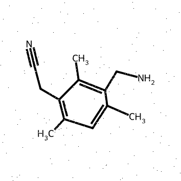 Cc1cc(C)c(CC#N)c(C)c1CN